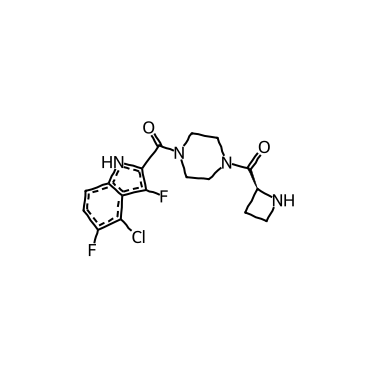 O=C(c1[nH]c2ccc(F)c(Cl)c2c1F)N1CCN(C(=O)[C@@H]2CCN2)CC1